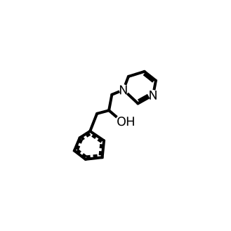 OC(Cc1ccccc1)CN1C=NC=CC1